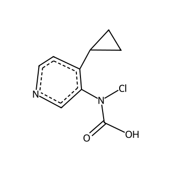 O=C(O)N(Cl)c1cnccc1C1CC1